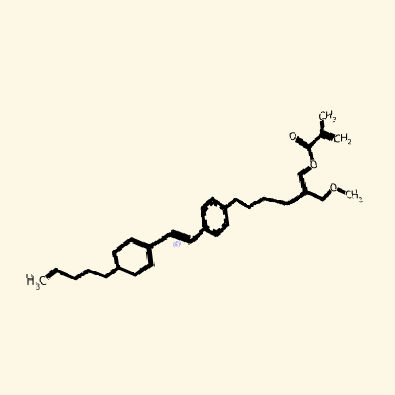 C=C(C)C(=O)OCC(CCCCc1ccc(/C=C/C2CCC(CCCCC)CC2)cc1)COC